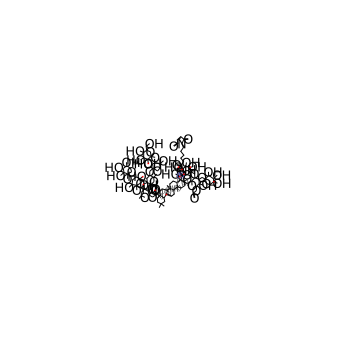 CC1OC(OC2C(C)OC(OC(=O)[C@]34CCC(C)(C)CC3C3=CCC5[C@@]6(C)CC[C@H](OC7OC(OC=O)C(O)C(OC8OCC(O)C(O)C8O)C7OC7OC(CO)C(O)C(O)C7O)[C@@](C)(/C=N/NC(=O)CCCCCN7C(=O)C=CC7=O)C6CC[C@@]5(C)[C@]3(C)C[C@H]4O)C(OC3OC(C)C(OC4OCC(O)C(OC5OC(CO)C(O)C(O)C5O)C4O)C(O)C3C)C2O)C(O)C(OC2OCC(O)C(O)C2O)C1C